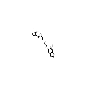 CN(CCOCCSc1cc2c(cc1Cl)NC(=O)C2)C(=O)c1cc[nH]c1C=O